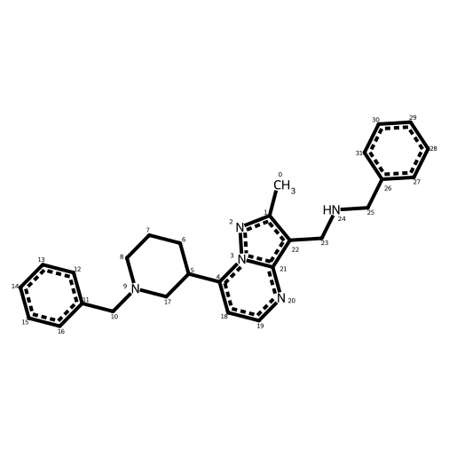 Cc1nn2c(C3CCCN(Cc4ccccc4)C3)ccnc2c1CNCc1ccccc1